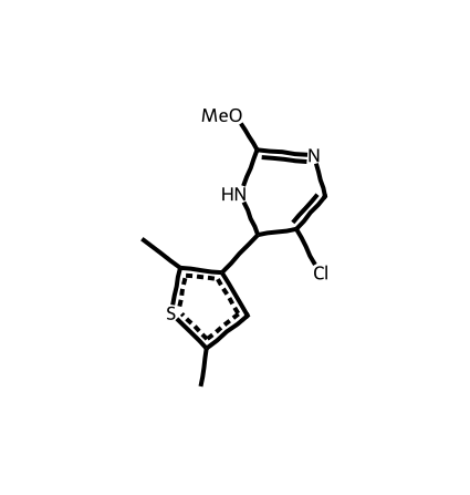 COC1=NC=C(Cl)C(c2cc(C)sc2C)N1